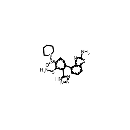 NSc1c([S+]([O-])N2CCCCC2)ccc(-c2cccc3sc(N)nc23)c1-c1nnn[nH]1